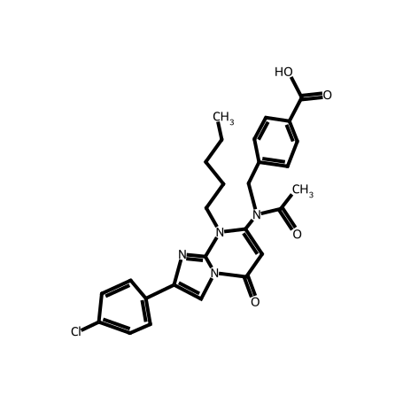 CCCCCn1c(N(Cc2ccc(C(=O)O)cc2)C(C)=O)cc(=O)n2cc(-c3ccc(Cl)cc3)nc12